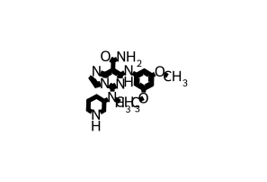 COc1cc(Nc2nc(N(C)C3CCCNC3)n3ccnc3c2C(N)=O)cc(OC)c1